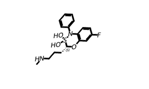 CNCCC[C@H]1Oc2cc(F)ccc2N(c2ccccc2)S1(O)O